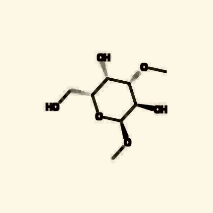 CO[C@H]1O[C@H](CO)[C@H](O)[C@H](OC)[C@H]1O